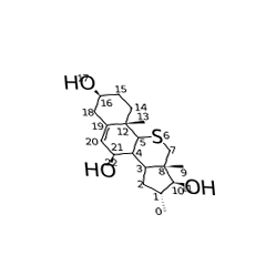 C[C@@H]1CC2C3C(SC[C@]2(C)[C@H]1O)[C@@]1(C)CC[C@H](O)CC1=C[C@@H]3O